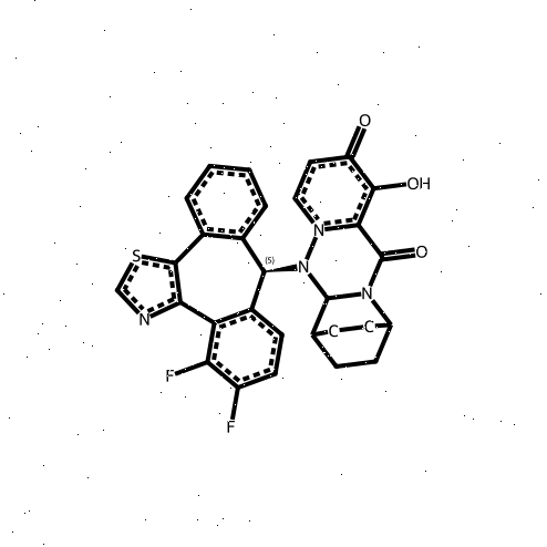 O=C1c2c(O)c(=O)ccn2N([C@@H]2c3ccccc3-c3scnc3-c3c2ccc(F)c3F)C2C3CCC(CC3)N12